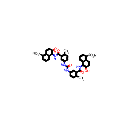 Cc1ccc(NC(=O)Nc2ccc(C)c(C(=O)Nc3c(O)ccc4c(S(=O)(=O)O)cccc34)c2)cc1C(=O)Nc1c(O)ccc2c(S(=O)(=O)O)cccc12